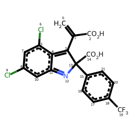 C=C(C(=O)O)C1=c2c(Cl)cc(Cl)cc2=NC1(C(=O)O)c1ccc(C(F)(F)F)cc1